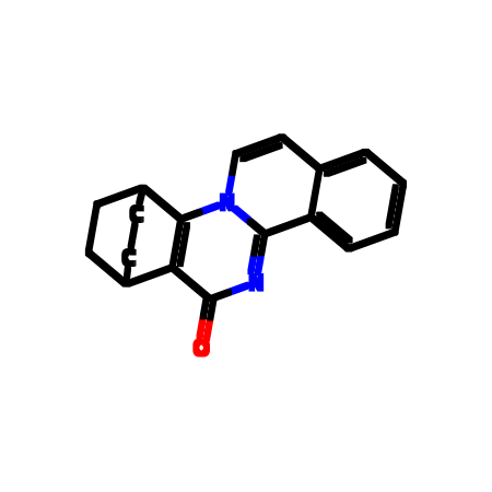 O=c1nc2c3ccccc3ccn2c2c1C1CCC2CC1